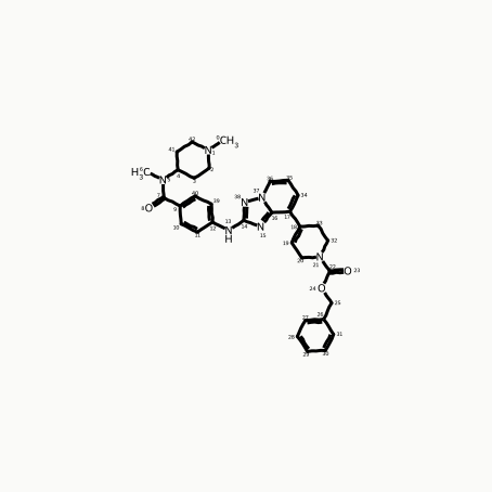 CN1CCC(N(C)C(=O)c2ccc(Nc3nc4c(C5=CCN(C(=O)OCc6ccccc6)CC5)cccn4n3)cc2)CC1